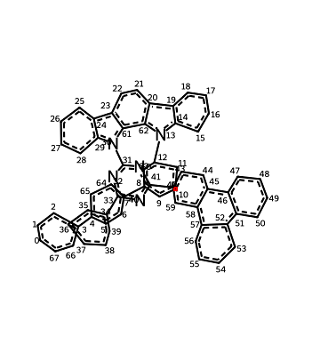 c1ccc(-c2ccc(-c3cccc(-n4c5ccccc5c5ccc6c7ccccc7n(-c7nc(-c8ccccc8)nc(-c8ccc9c%10ccccc%10c%10ccccc%10c9c8)n7)c6c54)c3)cc2)cc1